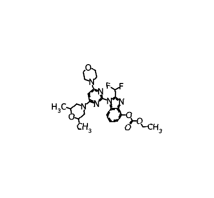 CCOC(=O)Oc1cccc2c1nc(C(F)F)n2-c1nc(N2CCOCC2)cc(N2CC(C)OC(C)C2)n1